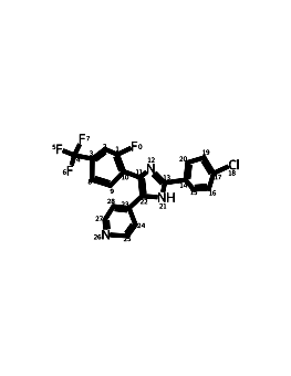 Fc1cc(C(F)(F)F)ccc1-c1nc(-c2ccc(Cl)cc2)[nH]c1-c1ccncc1